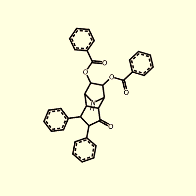 O=C(OC1C2NC(C1OC(=O)c1ccccc1)C1C2C(=O)C(c2ccccc2)C1c1ccccc1)c1ccccc1